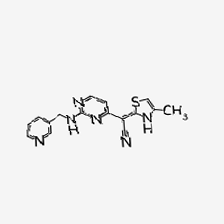 CC1=CSC(=C(C#N)c2ccnc(NCc3cccnc3)n2)N1